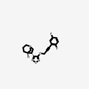 Fc1ccc(F)c(C#CCOc2nsnc2[C@H]2CN3CCC[C@@H]2C3)c1